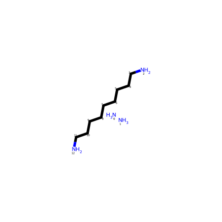 N.N.NCCCCCCCCCN